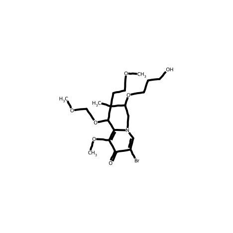 COCCC1(C)C(OCCCO)Cn2cc(Br)c(=O)c(OC)c2C1OCOC